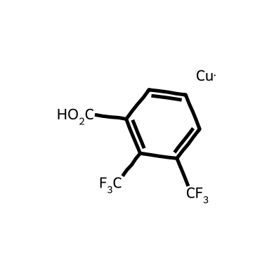 O=C(O)c1cccc(C(F)(F)F)c1C(F)(F)F.[Cu]